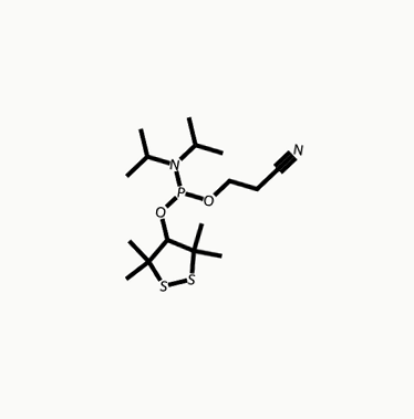 CC(C)N(C(C)C)P(OCCC#N)OC1C(C)(C)SSC1(C)C